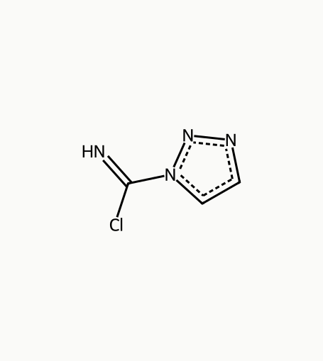 N=C(Cl)n1ccnn1